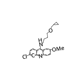 COc1ccc2nc3cc(Cl)ccc3c(NCCCCOCC3CC3)c2c1